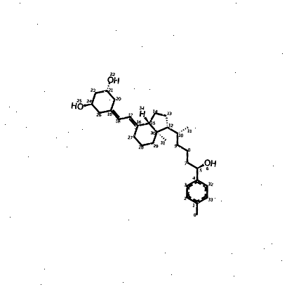 Cc1ccc([C@H](O)CCC[C@@H](C)[C@H]2CC[C@H]3/C(=C/C=C4C[C@@H](O)C[C@H](O)C4)CCC[C@]23C)cc1